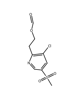 CS(=O)(=O)c1cnc(CCOC=O)c(Cl)c1